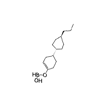 CCC[C@H]1CC[C@H](C2CC=C(OBO)CC2)CC1